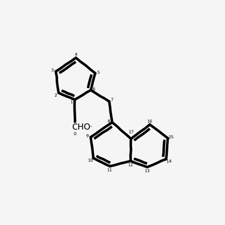 O=[C]c1ccccc1Cc1cccc2ccccc12